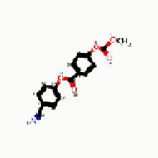 COC(=O)Oc1ccc(C(=O)Oc2ccc(C#N)cc2)cc1